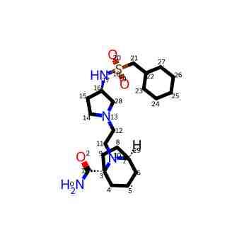 NC(=O)[C@]12C[CH]C[C@H](CC1)N2CCN1CC[C@@H](NS(=O)(=O)CC2CCCCC2)C1